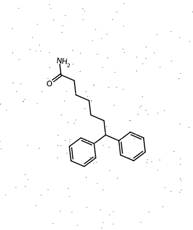 NC(=O)CC[CH]CCC(c1ccccc1)c1ccccc1